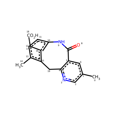 Cc1cnc2c(c1)C(=O)Nc1ccc(C)c(c1CC(=O)O)C2